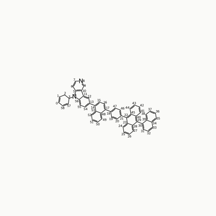 C1=CCC(n2c3ccncc3c3cc(-c4ccc(-c5ccc(-c6c7ccccc7c(-c7cccc8ccccc78)c7ccccc67)cc5)c5ccccc45)ccc32)C=C1